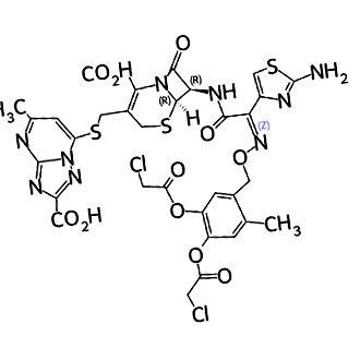 Cc1cc(SCC2=C(C(=O)O)N3C(=O)[C@@H](NC(=O)/C(=N\OCc4cc(OC(=O)CCl)c(OC(=O)CCl)cc4C)c4csc(N)n4)[C@H]3SC2)n2nc(C(=O)O)nc2n1